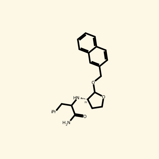 CC(C)CC(N[C@H]1CCOC1OCc1ccc2ccccc2c1)C(N)=O